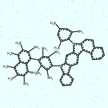 Bc1cc(B)c(-n2c3cc4c(cc3c3c5ccccc5ccc32)c2ccccc2n4-c2c(B)c(B)c(-c3c(B)c(B)c(B)c4c(B)c(B)c(B)c(B)c34)c(B)c2B)c(B)c1